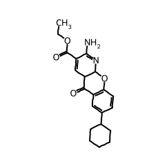 CCOC(=O)C1=CC2C(=O)c3cc(C4CCCCC4)ccc3OC2N=C1N